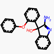 NC1=Nc2ccccc2C1(O)c1ccccc1Oc1ccccc1